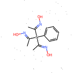 CC(=NO)[Si](C(C)=NO)(C(C)=NO)c1ccccc1